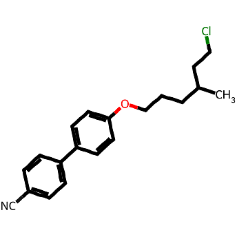 CC(CCCl)CCCOc1ccc(-c2ccc(C#N)cc2)cc1